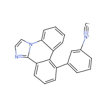 [C-]#[N+]c1cccc(-c2cccc3c2c2ccccc2n2ccnc32)c1